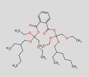 CCCCC(CC)COC(COCC)(OCC)OC(=O)c1ccccc1C(=O)OC(COCC)(OCC)OCC(CC)CCCC